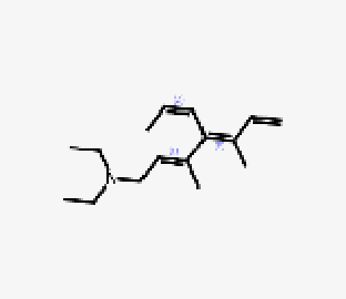 C=C/C(C)=C(\C=C/C)C(/C)=C/CN(CC)CC